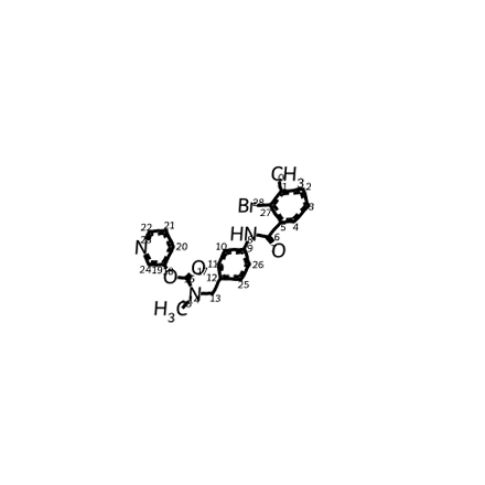 Cc1cccc(C(=O)Nc2ccc(CN(C)C(=O)Oc3cccnc3)cc2)c1Br